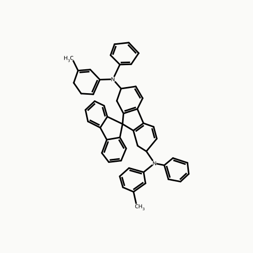 CC1=CC(N(c2ccccc2)C2C=CC3=C(C2)C2(C4=C3C=CC(N(c3ccccc3)c3cccc(C)c3)C4)c3ccccc3-c3ccccc32)=CCC1